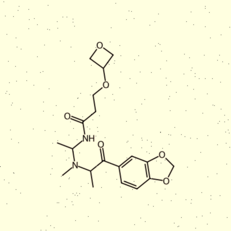 CC(NC(=O)CCOC1COC1)N(C)C(C)C(=O)c1ccc2c(c1)OCO2